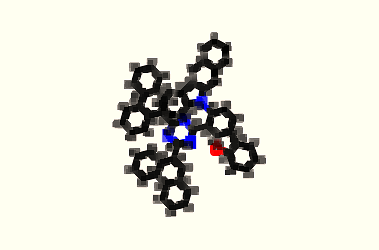 c1ccc2cc3c(cc2c1)c1ccccc1n3-c1ccc2c(oc3ccccc32)c1-c1nc(-c2cc3ccccc3c3ccccc23)nc(-c2cc3ccccc3c3ccccc23)n1